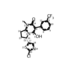 Cn1c2[n+](c(O)c(-c3cccc(C(F)(F)F)c3)c1=O)[C@H](c1cnc(Cl)s1)CC2